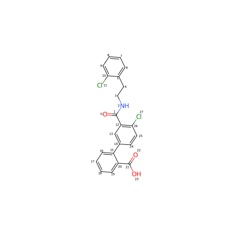 O=C(NCCc1ccccc1Cl)c1cc(-c2ccccc2C(=O)O)ccc1Cl